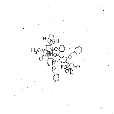 Cn1c(=O)n(-c2ccc(OCc3ccccc3)nc2OCc2ccccc2)c2ccc(N3[C@@H]4CC[C@H]3CC(CC(=O)Nc3ccc5c(F)c(N6CC(=O)NS6(=O)=O)c(OCc6ccccc6)cc5c3)C4)cc21